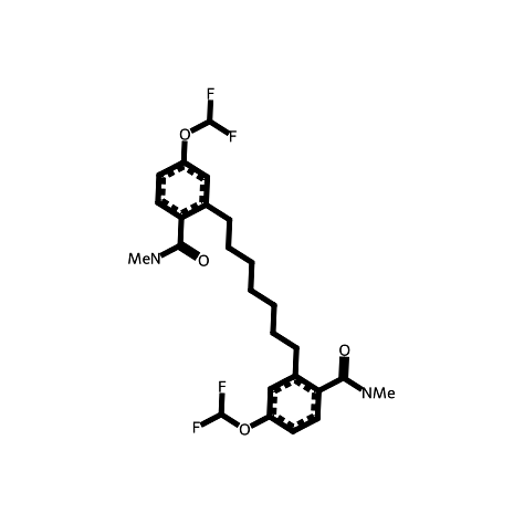 CNC(=O)c1ccc(OC(F)F)cc1CCCCCCCc1cc(OC(F)F)ccc1C(=O)NC